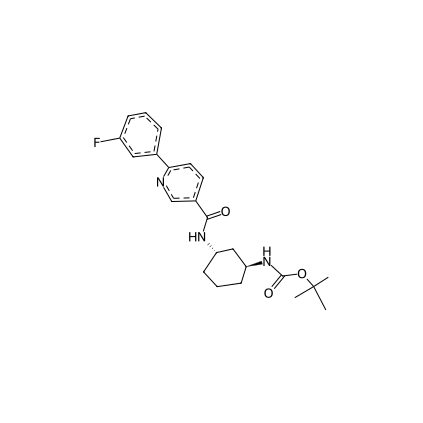 CC(C)(C)OC(=O)N[C@H]1CCC[C@H](NC(=O)c2ccc(-c3cccc(F)c3)nc2)C1